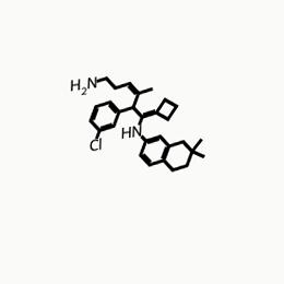 C/C(=C/CCN)C(C(Nc1ccc2c(c1)CC(C)(C)CC2)=C1CCC1)c1cccc(Cl)c1